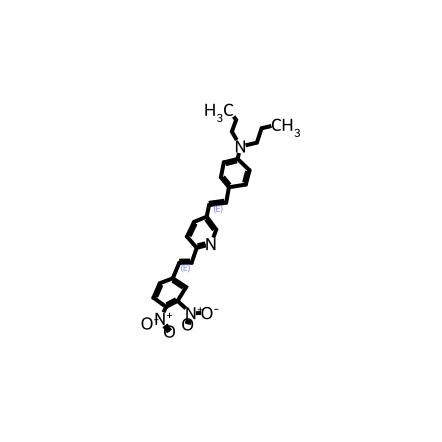 CCCN(CCC)c1ccc(/C=C/c2ccc(/C=C/c3ccc([N+](=O)[O-])c([N+](=O)[O-])c3)nc2)cc1